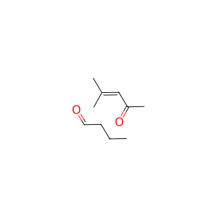 CC(=O)C=C(C)C.CCCC=O